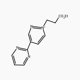 CCOC(=O)CC[n+]1ccc(-c2ncccn2)cn1